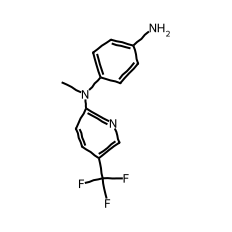 CN(c1ccc(N)cc1)c1ccc(C(F)(F)F)cn1